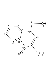 O=C(O)c1cn(CO)c2ccccc2c1=O